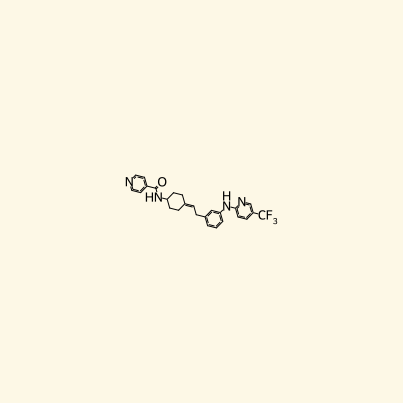 O=C(NC1CCC(=CCc2cccc(Nc3ccc(C(F)(F)F)cn3)c2)CC1)c1ccncc1